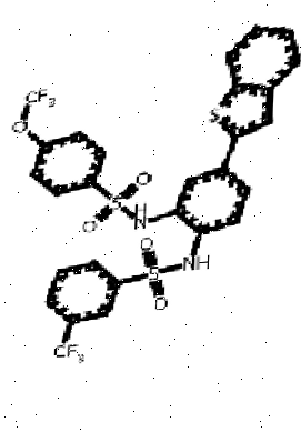 O=S(=O)(Nc1ccc(-c2cc3ccccc3s2)cc1NS(=O)(=O)c1ccc(OC(F)(F)F)cc1)c1cccc(C(F)(F)F)c1